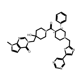 Cn1ccc2c(=O)n(CC3(O)CCN(C(=O)[C@@H]4CCN(Cc5ncc(-c6cncnc6)s5)C[C@H]4c4ccccc4)CC3)cnc21